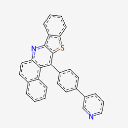 c1cncc(-c2ccc(-c3c4sc5ccccc5c4nc4ccc5ccccc5c34)cc2)c1